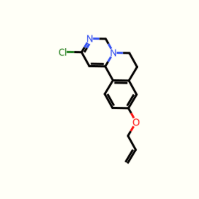 C=CCOc1ccc2c(c1)CCN1CN=C(Cl)C=C21